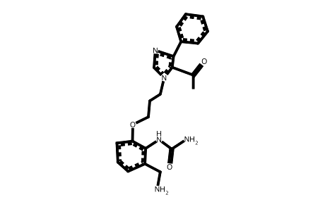 CC(=O)c1c(-c2ccccc2)ncn1CCCOc1cccc(CN)c1NC(N)=O